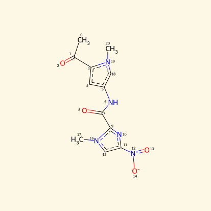 CC(=O)c1cc(NC(=O)c2nc([N+](=O)[O-])cn2C)cn1C